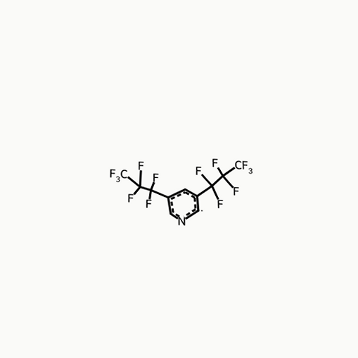 FC(F)(F)C(F)(F)C(F)(F)c1[c]ncc(C(F)(F)C(F)(F)C(F)(F)F)c1